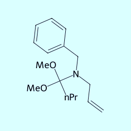 C=CCN(Cc1ccccc1)C(CCC)(OC)OC